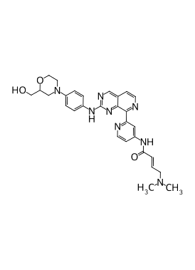 CN(C)CC=CC(=O)Nc1ccnc(-c2nccc3cnc(Nc4ccc(N5CCOC(CO)C5)cc4)nc23)c1